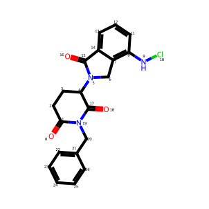 O=C1CCC(N2Cc3c(NCl)cccc3C2=O)C(=O)N1Cc1ccccc1